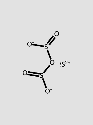 O=S([O-])OS(=O)[O-].[S+2]